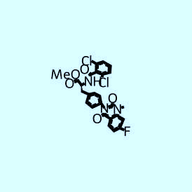 COC(=O)[C@H](Cc1ccc(-n2c(=O)c3ccc(F)cc3n(C)c2=O)cc1)NC(=O)c1c(Cl)cccc1Cl